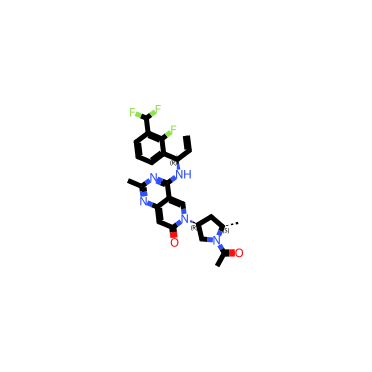 C=C[C@@H](Nc1nc(C)nc2cc(=O)n([C@@H]3C[C@H](C)N(C(C)=O)C3)cc12)c1cccc(C(F)F)c1F